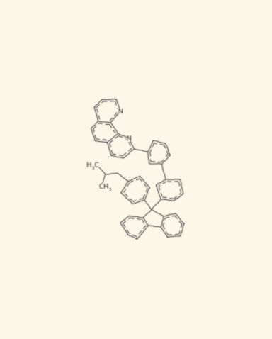 CC(C)Cc1ccc(C2(c3cccc(-c4cccc(-c5ccc6ccc7cccnc7c6n5)c4)c3)c3ccccc3-c3ccccc32)cc1